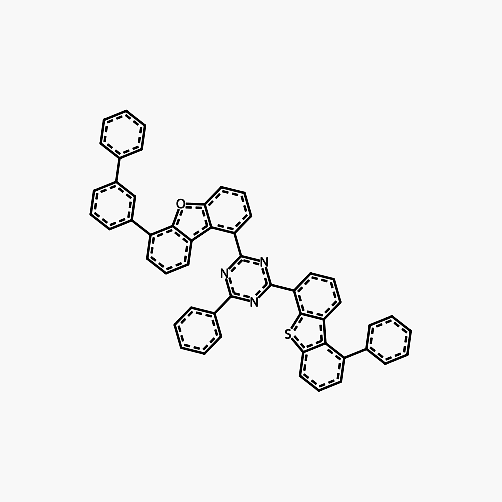 c1ccc(-c2cccc(-c3cccc4c3oc3cccc(-c5nc(-c6ccccc6)nc(-c6cccc7c6sc6cccc(-c8ccccc8)c67)n5)c34)c2)cc1